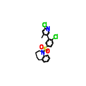 Cc1cc(Cl)ncc1-c1cc(S(=O)(=O)N2CCCCc3ccccc32)ccc1Cl